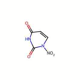 O=c1ccn([N+](=O)[O-])c(=O)[nH]1